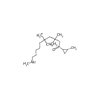 CNCCCCCC(C)(C)CC(C)(C)CC(=O)C1CC1C